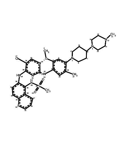 COc1cc(N2CCC(N3CCN(C)CC3)CC2)c(C)cc1Nc1ncc(Cl)c(Nc2ccc3ncccc3c2NS(C)(=O)=O)n1